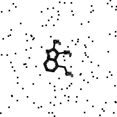 CCc1cccn2nc(C)c(N)c12